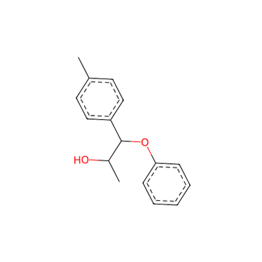 Cc1ccc(C(Oc2ccccc2)C(C)O)cc1